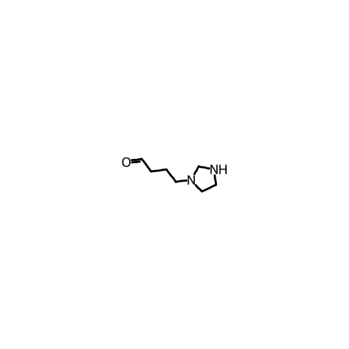 O=CCCCN1CCNC1